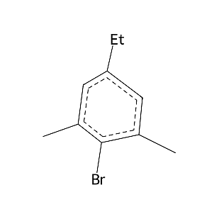 CCc1cc(C)c(Br)c(C)c1